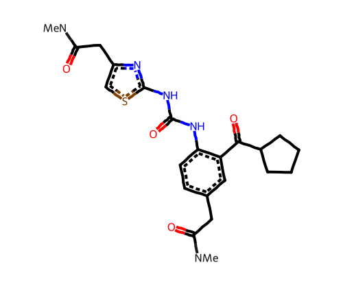 CNC(=O)Cc1ccc(NC(=O)Nc2nc(CC(=O)NC)cs2)c(C(=O)C2CCCC2)c1